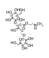 CNCCO[C@H]1O[C@H](CO[C@H]2O[C@H](CO)[C@@H](O)[C@H](O)[C@@H]2O)[C@@H](O)[C@H](O[C@H]2O[C@H](CO)[C@@H](O)[C@H](O)[C@@H]2O)[C@@H]1O